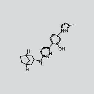 Cc1ccn(-c2ccc(-c3ccc(N(C)[C@H]4C[C@@H]5CC[C@@H](C5)C4)nn3)c(O)c2)n1